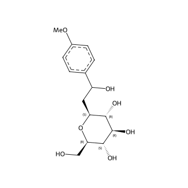 COc1ccc(C(O)C[C@@H]2O[C@H](CO)[C@@H](O)[C@H](O)[C@H]2O)cc1